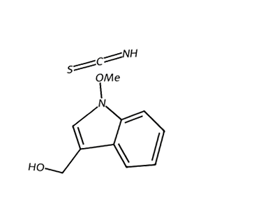 COn1cc(CO)c2ccccc21.N=C=S